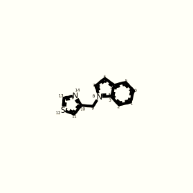 c1ccc2c(c1)ccn2Cc1cscn1